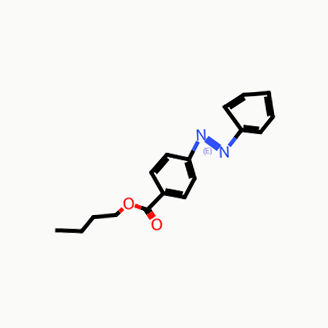 CCCCOC(=O)c1ccc(/N=N/c2ccccc2)cc1